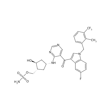 Cc1c(Cn2cc(C(=O)c3cncnc3N[C@@H]3C[C@H](COS(N)(=O)=O)[C@@H](O)C3)c3cc(F)ccc32)cccc1C(F)(F)F